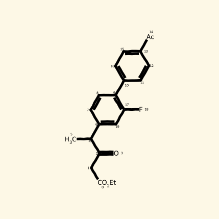 CCOC(=O)CC(=O)C(C)c1ccc(-c2ccc(C(C)=O)cc2)c(F)c1